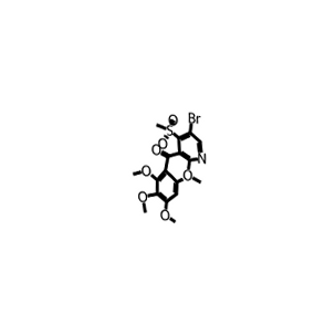 COc1cc(C)c(C(=O)c2c(OC)ncc(Br)c2S(C)(=O)=O)c(OC)c1OC